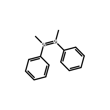 C[Si](c1ccccc1)=[Si](C)c1ccccc1